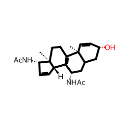 CC(=O)N[C@H]1CC2C[C@@H](O)C=C[C@]2(C)C2=C1[C@@H]1C=C[C@H](NC(C)=O)[C@@]1(C)CC2